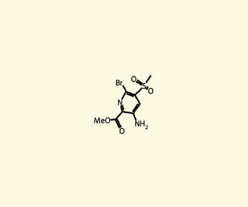 COC(=O)c1nc(Br)c(S(C)(=O)=O)cc1N